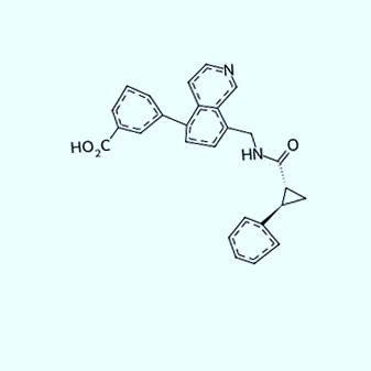 O=C(O)c1cccc(-c2ccc(CNC(=O)[C@@H]3C[C@H]3c3ccccc3)c3cnccc23)c1